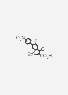 CCn1cc(C(=O)O)c(=O)c2cc(F)c(-c3ccc([N+](=O)[O-])cc3)cc21